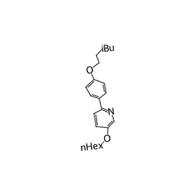 CCCCCCOc1ccc(-c2ccc(OCCC(C)CC)cc2)nc1